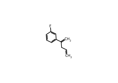 C=CCC(=C)c1cccc(F)c1